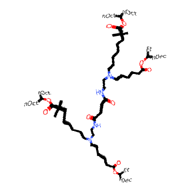 CCCCCCCCCCC(CC)OC(=O)CCCCCN(CCCCCCC(C)(C)C(=O)OC(CCCCCCCC)CCCCCCCC)CCNC(=O)CCC(=O)NCCN(CCCCCCC(C)(C)C(=O)OC(CCCCCCCC)CCCCCCCC)CCCCCC(=O)OC(CC)CCCCCCCCCC